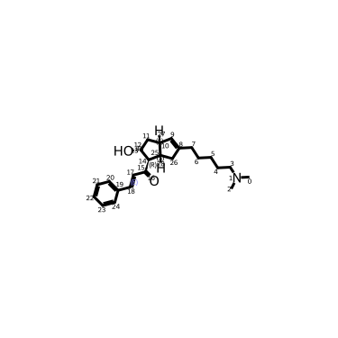 CN(C)CCCCCC1=C[C@H]2C[C@@H](O)[C@H](C(=O)/C=C/c3ccccc3)[C@H]2C1